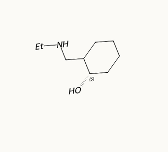 CCNCC1CCCC[C@@H]1O